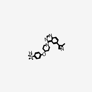 CC1=NC=C1c1ccc2ncnc(N3CCC(Oc4ccc([SH](C)(C)(C)C)cc4)CC3)c2c1